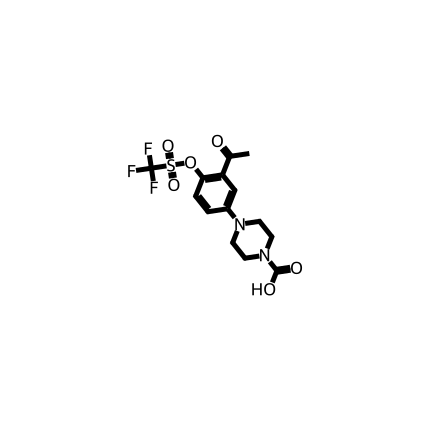 CC(=O)c1cc(N2CCN(C(=O)O)CC2)ccc1OS(=O)(=O)C(F)(F)F